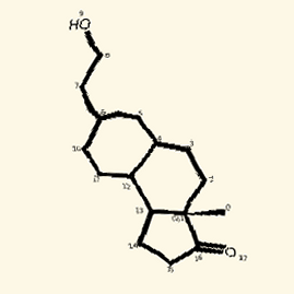 C[C@]12CCC3CC(CCO)CCC3C1CCC2=O